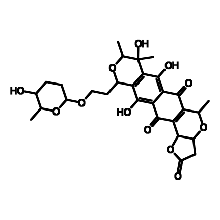 CC1OC2CC(=O)OC2C2=C1C(=O)c1c(O)c3c(c(O)c1C2=O)C(CCOC1CCC(O)C(C)O1)OC(C)C3(C)O